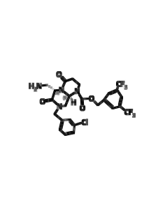 NC[C@H]1C(=O)N(Cc2cccc(Cl)c2)C[C@@H]2N(C(=O)OCc3cc(C(F)(F)F)cc(C(F)(F)F)c3)CCC(=O)N21